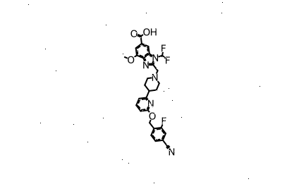 COc1cc(C(=O)O)cc2c1nc(CN1CCC(c3cccc(OCc4ccc(C#N)cc4F)n3)CC1)n2C(F)F